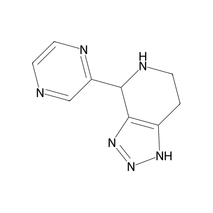 c1cnc(C2NCCc3[nH]nnc32)cn1